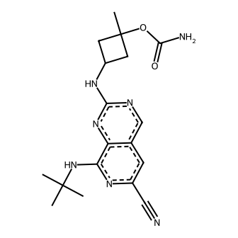 CC(C)(C)Nc1nc(C#N)cc2cnc(NC3CC(C)(OC(N)=O)C3)nc12